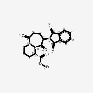 CCC(C)OC(=O)[C@@H]1CCCN2C(=O)CCC(N3C(=O)c4ccccc4C3=O)C(=O)N12